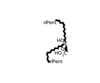 CCCCC/C=C\C/C=C\CCCCCCC(O)CN(CCCC(=O)O)CC(O)CCCCCC/C=C\C/C=C\CCCCC